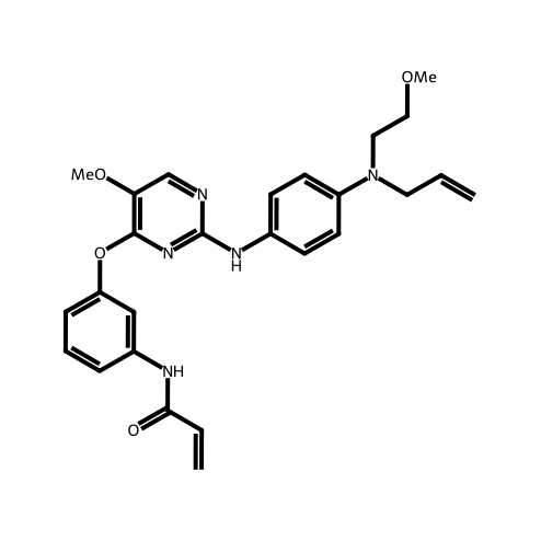 C=CCN(CCOC)c1ccc(Nc2ncc(OC)c(Oc3cccc(NC(=O)C=C)c3)n2)cc1